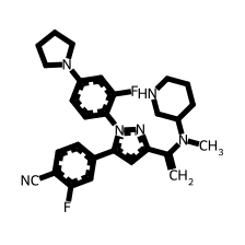 C=C(c1cc(-c2ccc(C#N)c(F)c2)n(-c2ccc(N3CCCC3)cc2F)n1)N(C)C1CCCNC1